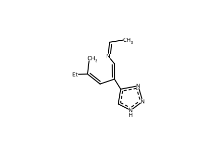 C\C=N/C=C(\C=C(/C)CC)c1c[nH]nn1